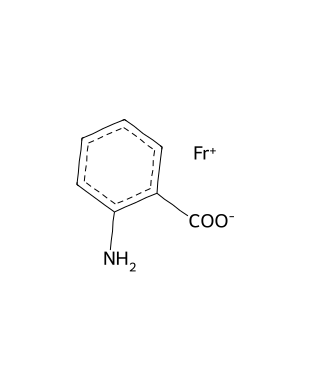 Nc1ccccc1C(=O)[O-].[Fr+]